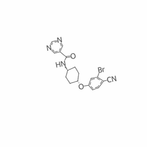 N#Cc1ccc(O[C@H]2CC[C@H](NC(=O)c3cncnc3)CC2)cc1Br